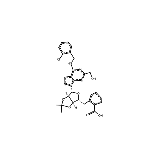 CC1(C)O[C@@H]2[C@H](O1)[C@@H](Cc1ccccc1C(=O)O)O[C@H]2n1ncc2c(NCc3ccccc3Cl)nc(CO)nc21